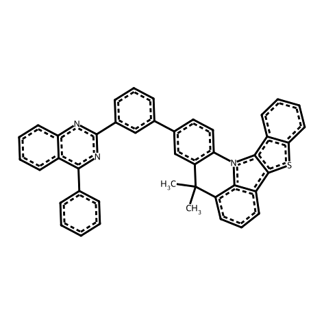 CC1(C)c2cc(-c3cccc(-c4nc(-c5ccccc5)c5ccccc5n4)c3)ccc2-n2c3c1cccc3c1sc3ccccc3c12